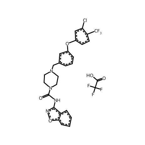 O=C(Nc1noc2ccccc12)N1CCN(Cc2cccc(Oc3ccc(C(F)(F)F)c(Cl)c3)c2)CC1.O=C(O)C(F)(F)F